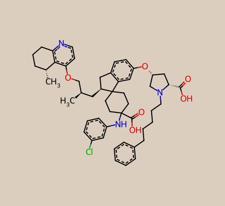 C[C@@H](COc1ccnc2c1[C@H](C)CCC2)C[C@H]1Cc2ccc(O[C@@H]3C[C@H](C(=O)O)N(CCCCCc4ccccc4)C3)cc2C12CCC(Nc1cccc(Cl)c1)(C(=O)O)CC2